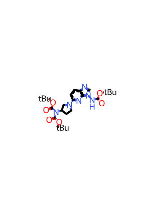 CC(C)(C)OC(=O)Nn1cnc2ccc(N3CCC(N(C(=O)OC(C)(C)C)C(=O)OC(C)(C)C)C3)nc21